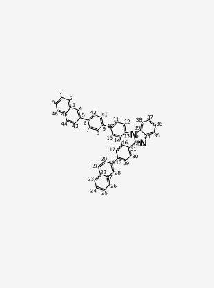 c1ccc2cc(-c3ccc(-c4ccc5c(c4)c4cc(-c6ccc7ccccc7c6)ccc4c4nc6ccccc6n54)cc3)ccc2c1